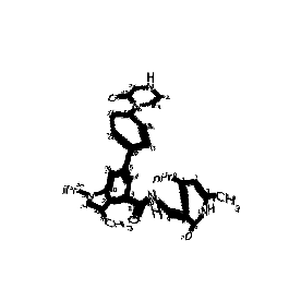 CCCc1cc(C)[nH]c(=O)c1CNC(=O)c1cc(-c2ccc(N3CCNCC3=O)cc2)cc2c1c(C)cn2C(C)C